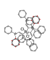 [Cl][Ru]([Cl])([C](=CP(c1ccccc1)c1ccccc1)P(c1ccccc1)c1ccccc1)([C](=CP(c1ccccc1)c1ccccc1)P(c1ccccc1)c1ccccc1)[C](=CP(c1ccccc1)c1ccccc1)P(c1ccccc1)c1ccccc1